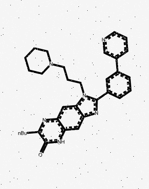 CCCCc1nc2cc3c(cc2[nH]c1=O)nc(-c1cccc(-c2cccnc2)c1)n3CCCN1CCCCC1